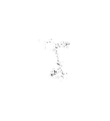 C=C(C)C(=O)OCC(COC(=O)CP(=O)(O)O)OC(=O)NCCCCCCNC(=O)OC(COC(=O)CP(=O)(O)O)COC(=O)C(=C)C